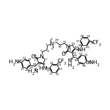 C[N+](C)(CCCN1CC(Nc2cccc(C(F)(F)F)c2)=C([C@H](N)c2ccc(N)cc2)C1=O)CCCN1CC(Nc2cccc(C(F)(F)F)c2)=C([C@H](N)c2ccc(N)cc2)C1=O